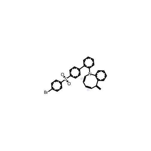 C=C1/C=C\C=C/N(c2ccccc2-c2ccc(S(=O)(=O)c3ccc(Br)cc3)cc2)c2ccccc21